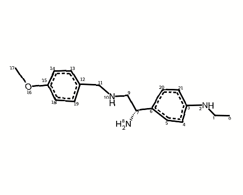 CCNc1ccc([C@H](N)CNCc2ccc(OC)cc2)cc1